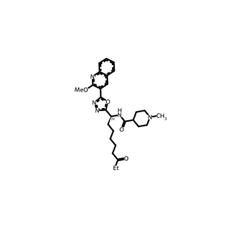 CCC(=O)CCCCC[C@H](NC(=O)C1CCN(C)CC1)c1nnc(-c2cc3ccccc3nc2OC)o1